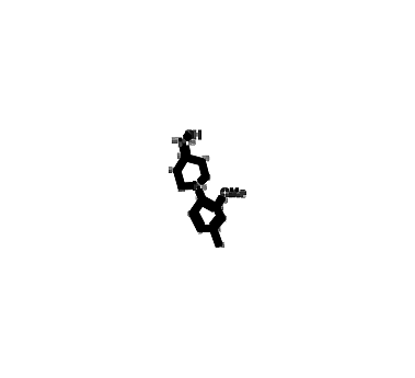 COc1cc(C)ccc1N1CCC(=NO)CC1